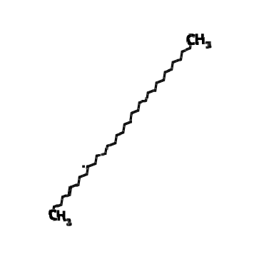 CCCCC=CCCC[CH]CCCCCCCCCCCCCCCCCCCCCCCC